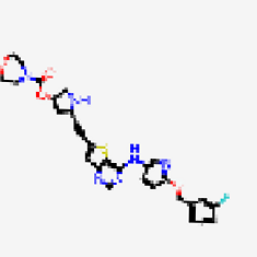 O=C(OC1CNC(C#Cc2cc3ncnc(Nc4ccc(OCc5cccc(F)c5)nc4)c3s2)C1)N1CCOCC1